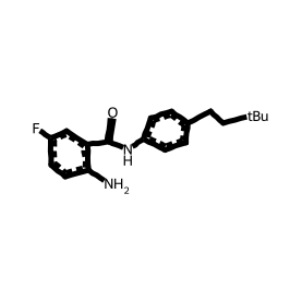 CC(C)(C)CCc1ccc(NC(=O)c2cc(F)ccc2N)cc1